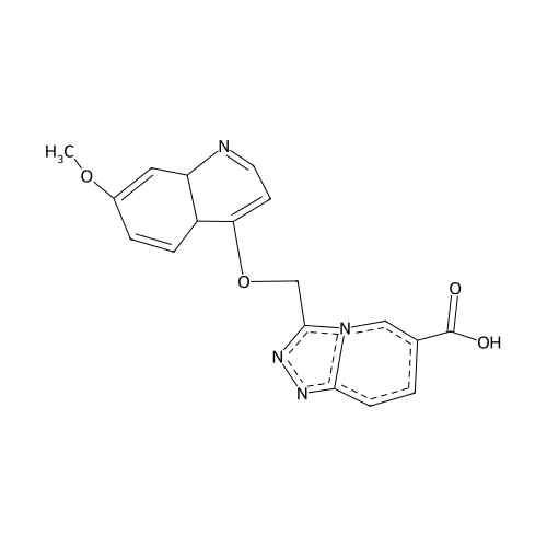 COC1=CC2N=CC=C(OCc3nnc4ccc(C(=O)O)cn34)C2C=C1